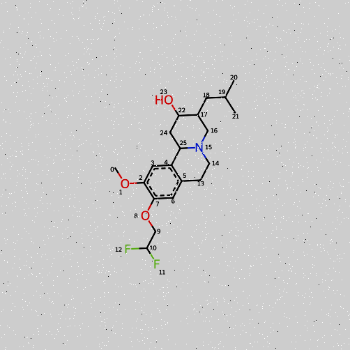 COc1cc2c(cc1OCC(F)F)CCN1CC(CC(C)C)C(O)CC21